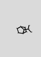 CC(C)C1C2CCC1CC2